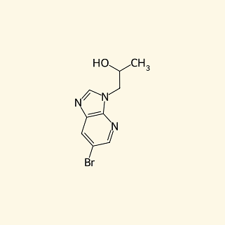 CC(O)Cn1cnc2cc(Br)cnc21